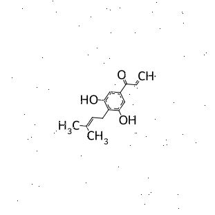 [CH]=CC(=O)c1cc(O)c(CC=C(C)C)c(O)c1